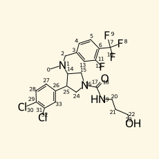 CN(Cc1ccc(C(F)(F)F)c(F)c1)C1CN(C(=O)NCCCO)CC1c1ccc(Cl)c(Cl)c1